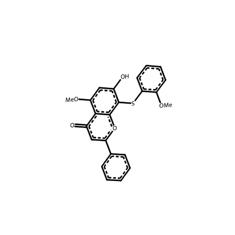 COc1ccccc1Sc1c(O)cc(OC)c2c(=O)cc(-c3ccccc3)oc12